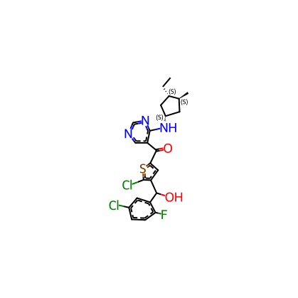 CC[C@H]1C[C@@H](Nc2ncncc2C(=O)c2cc(C(O)c3cc(Cl)ccc3F)c(Cl)s2)C[C@@H]1C